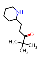 CC(C)(C)C(=O)CCC1CCCCN1